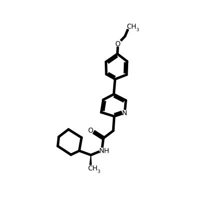 CCOc1ccc(-c2ccc(CC(=O)N[C@@H](C)C3CCCCC3)nc2)cc1